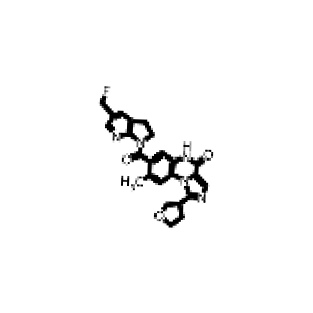 Cc1cc2c(cc1C(=O)N1CCc3cc(CF)cnc31)[nH]c(=O)c1cnc(C3CCOC3)n12